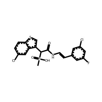 CP(=O)(O)C(C(=O)N/C=C/c1cc(F)cc(Cl)c1)c1csc2ccc(Cl)cc12